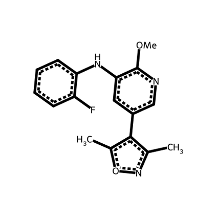 COc1ncc(-c2c(C)noc2C)cc1Nc1ccccc1F